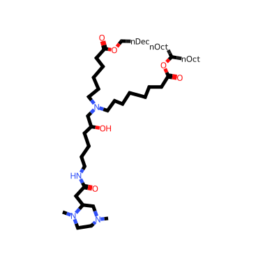 CCCCCCCCCCCOC(=O)CCCCCN(CCCCCCCC(=O)OC(CCCCCCCC)CCCCCCCC)CC(O)CCCCNC(=O)CC1CN(C)CCN1C